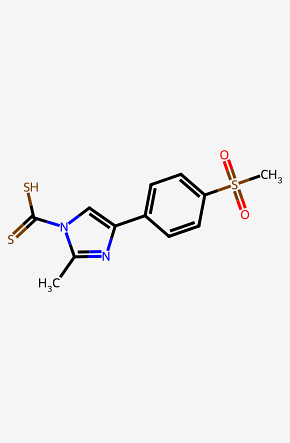 Cc1nc(-c2ccc(S(C)(=O)=O)cc2)cn1C(=S)S